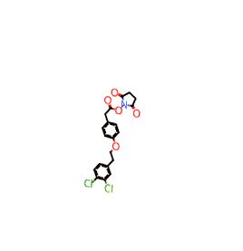 O=C(Cc1ccc(OCCc2ccc(Cl)c(Cl)c2)cc1)ON1C(=O)CCC1=O